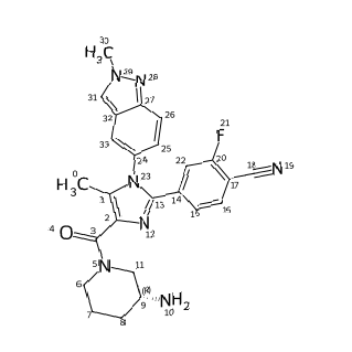 Cc1c(C(=O)N2CCC[C@@H](N)C2)nc(-c2ccc(C#N)c(F)c2)n1-c1ccc2nn(C)cc2c1